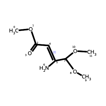 COC(=O)/C=C(\N)C(OC)OC